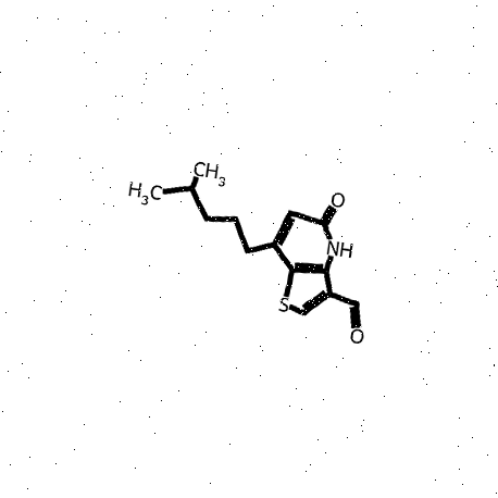 CC(C)CCCc1cc(=O)[nH]c2c(C=O)csc12